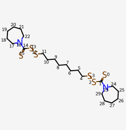 S=C(SSCCCCCCCCSSC(=S)N1CCCCCC1)N1CCCCCC1